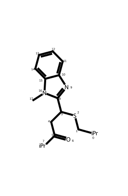 CC(C)CSC(CC(=O)C(C)C)c1nc2ccccc2n1C